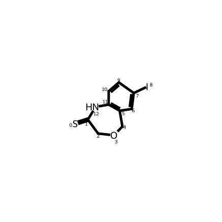 S=C1COCc2cc(I)ccc2N1